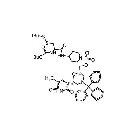 Cc1cn([C@H]2CN(C(c3ccccc3)(c3ccccc3)c3ccccc3)C[C@@H](COP(=O)(Cl)N3CCC(NC(=O)C(CSSC(C)(C)C)NC(=O)OCC(C)C)CC3)O2)c(=O)[nH]c1=O